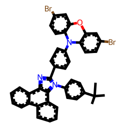 CC(C)(C)c1ccc(-n2c(-c3ccc(N4c5ccc(Br)cc5Oc5cc(Br)ccc54)cc3)nc3c4ccccc4c4ccccc4c32)cc1